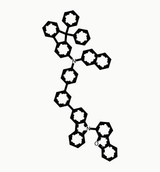 c1ccc(C2(c3ccccc3)c3ccccc3-c3ccc(N(c4ccc(-c5cccc(-c6ccc7c(c6)c6ccccc6n7-c6cccc7c6oc6ccccc67)c5)cc4)c4ccc5ccccc5c4)cc32)cc1